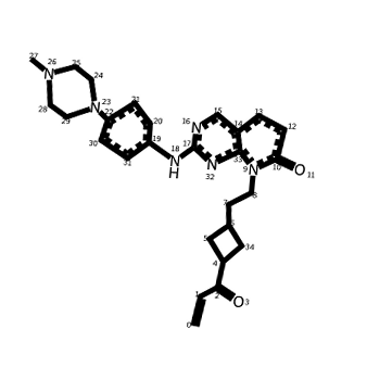 C=CC(=O)C1CC(CCn2c(=O)ccc3cnc(Nc4ccc(N5CCN(C)CC5)cc4)nc32)C1